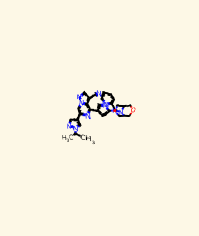 CC(C)n1cc(-c2cn3ncc(C#N)c3c(-c3ccc(N4CC5COCC(C4)N5Cc4ccccn4)nc3)n2)cn1